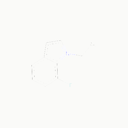 CC(=O)Cn1ccc2cccc(F)c21